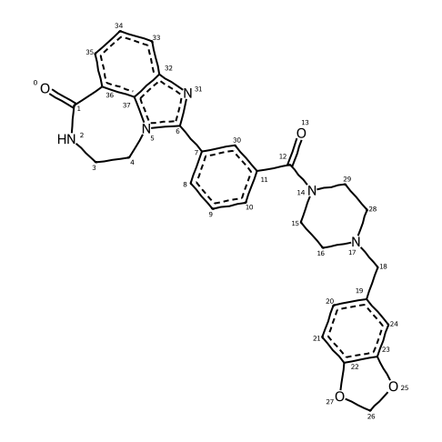 O=C1NCCn2c(-c3cccc(C(=O)N4CCN(Cc5ccc6c(c5)OCO6)CC4)c3)nc3cccc1c32